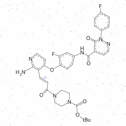 CC(C)(C)OC(=O)N1CCN(C(=O)/C=C/c2c(Oc3ccc(NC(=O)c4ccnn(-c5ccc(F)cc5)c4=O)cc3F)ccnc2N)CC1